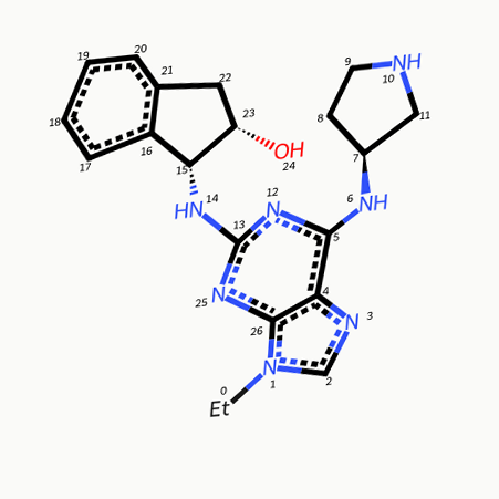 CCn1cnc2c(N[C@H]3CCNC3)nc(N[C@@H]3c4ccccc4C[C@@H]3O)nc21